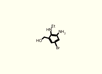 CCNc1c(N)cc(Br)cc1CO